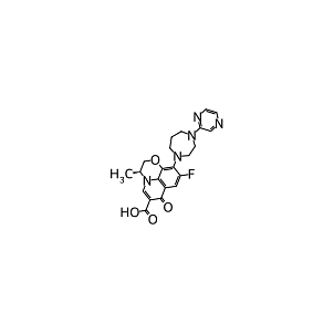 C[C@H]1COc2c(N3CCCN(c4cnccn4)CC3)c(F)cc3c(=O)c(C(=O)O)cn1c23